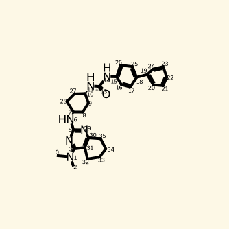 CN(C)c1nc(N[C@H]2CC[C@@H](NC(=O)Nc3ccc(-c4ccccc4)cc3)CC2)nc2c1CCCC2